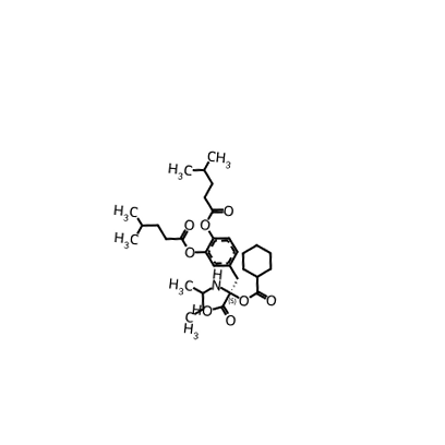 CCC(C)N[C@@](Cc1ccc(OC(=O)CCC(C)C)c(OC(=O)CCC(C)C)c1)(OC(=O)C1CCCCC1)C(=O)O